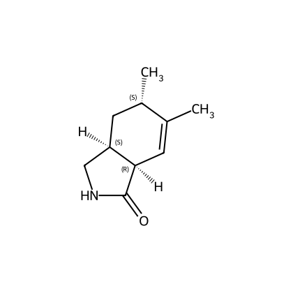 CC1=C[C@H]2C(=O)NC[C@H]2C[C@@H]1C